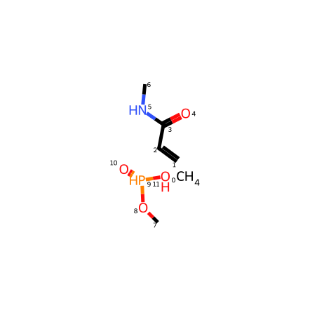 C.C=CC(=O)NC.CO[PH](=O)O